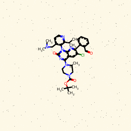 CC(C)c1nccc(CN(C)C)c1-n1c(=O)nc(N2CCN(C(=O)OC(C)(C)C)C[C@@H]2C)c2cc(Cl)c(-c3ccccc3C=O)nc21